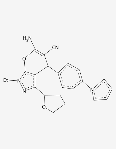 CCn1nc(C2CCCO2)c2c1OC(N)=C(C#N)C2c1ccc(-n2cccc2)cc1